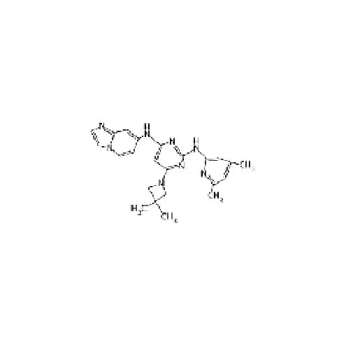 Cc1cc(C)nc(Nc2nc(Nc3ccn4ccnc4c3)cc(N3CC(C)(C)C3)n2)c1